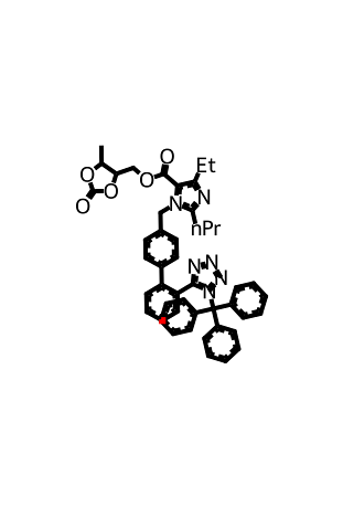 CCCc1nc(CC)c(C(=O)OCC2OC(=O)OC2C)n1Cc1ccc(-c2ccccc2-c2nnnn2C(c2ccccc2)(c2ccccc2)c2ccccc2)cc1